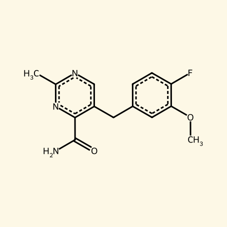 COc1cc(Cc2cnc(C)nc2C(N)=O)ccc1F